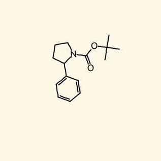 CC(C)(C)OC(=O)N1CCCC1c1ccccc1